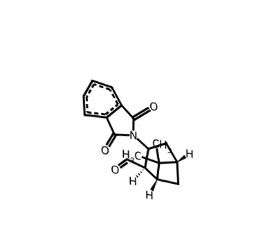 CC1(C)[C@@H]2CC(N3C(=O)c4ccccc4C3=O)[C@H](C=O)[C@H]1C2